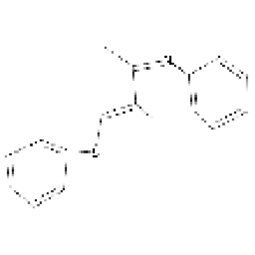 CC(=N/c1ccccc1)/C(C)=C/Sc1ccccc1